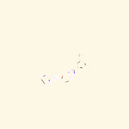 O=C(/C=C\n1cnc(-c2cc(CF)c(Cl)c(C(F)(F)F)c2)n1)NNc1cnccn1